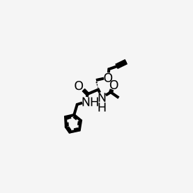 C#CCOC[C@H](NC(C)=O)C(=O)NCc1ccccc1